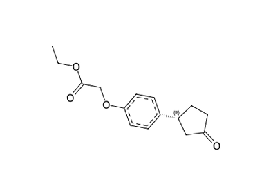 CCOC(=O)COc1ccc([C@@H]2CCC(=O)C2)cc1